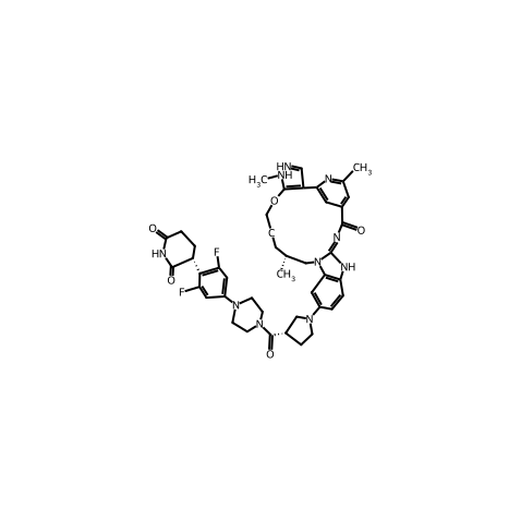 CN/C1=C(\C=N)c2cc(cc(C)n2)C(=O)/N=C2\Nc3ccc(N4CC[C@H](C(=O)N5CCN(c6cc(F)c([C@H]7CCC(=O)NC7=O)c(F)c6)CC5)C4)cc3N2C[C@H](C)CCCO1